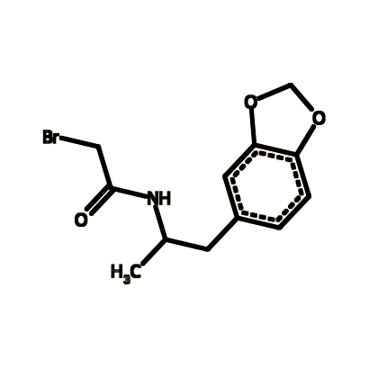 CC(Cc1ccc2c(c1)OCO2)NC(=O)CBr